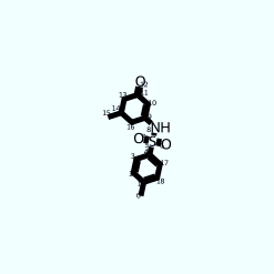 Cc1ccc(S(=O)(=O)NC2=CC(=O)CC(C)C2)cc1